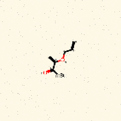 C=CCOC(=C)C(=O)CCCC